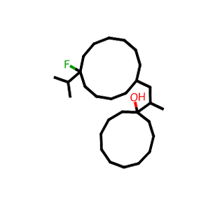 CC(CC1CCCCCCC(F)(C(C)C)CCCC1)C1(O)CCCCCCCCCC1